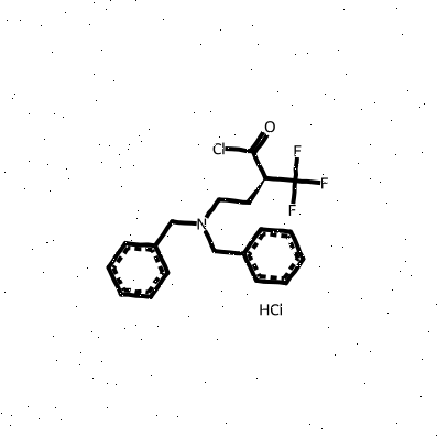 Cl.O=C(Cl)[C@H](CCN(Cc1ccccc1)Cc1ccccc1)C(F)(F)F